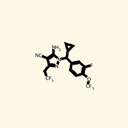 N#Cc1c(CC(F)(F)F)nn(C(c2ccc(OC(F)(F)F)c(F)c2)C2CC2)c1N